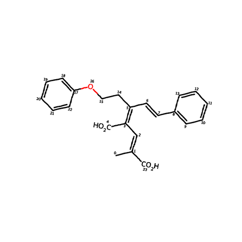 CC(=CC(C(=O)O)=C(C=Cc1ccccc1)CCOc1ccccc1)C(=O)O